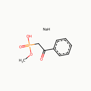 COP(=O)(O)CC(=O)c1ccccc1.[NaH]